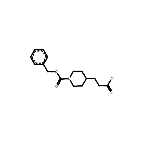 O=C(Cl)CCC1CCN(C(=O)OCc2ccccc2)CC1